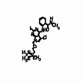 CNC(=O)C1CC=CC=C1Nc1nc(I)nc2c1c(Cl)cn2COCC[Si](C)(C)C